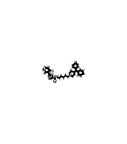 O=C(NCCCCCN1CCC(=C(c2ccccc2)c2ccccc2)CC1)[C@@H]1CSC(c2cccnc2)N1